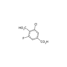 O=C(O)c1cc(F)c(C(=O)O)c(Cl)c1